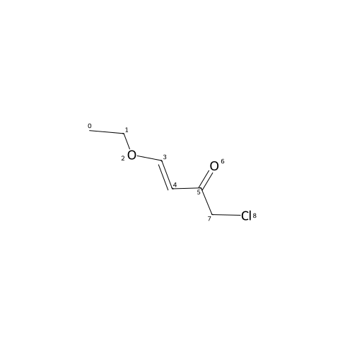 CCOC=CC(=O)CCl